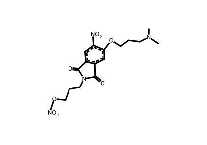 CN(C)CCCOc1cc2c(cc1[N+](=O)[O-])C(=O)N(CCCO[N+](=O)[O-])C2=O